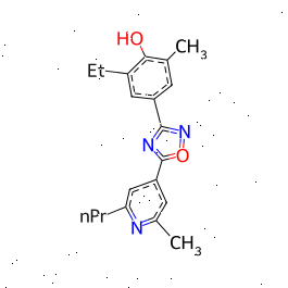 CCCc1cc(-c2nc(-c3cc(C)c(O)c(CC)c3)no2)cc(C)n1